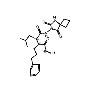 CC(C)C[C@@H](C(=O)NN1C(=O)NC2(CCC2)C1=O)[C@H](CCCc1ccccc1)C(=O)NO